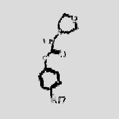 O=Nc1ccc(OC(=O)NN2CCOCC2)cc1